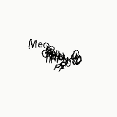 CCCn1c(=O)n(CCOC)c(=O)c2[nH]c(-c3ccc(N(CCCN4CCc5ccccc5C4=O)C(=O)c4ccc(F)c(F)c4)nc3)nc21